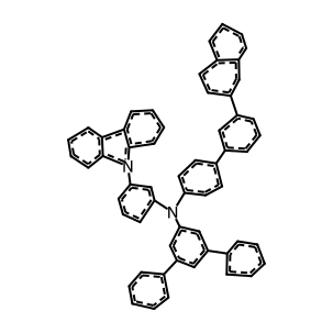 c1ccc(-c2cc(-c3ccccc3)cc(N(c3ccc(-c4cccc(-c5ccc6ccccc6c5)c4)cc3)c3cccc(-n4c5ccccc5c5ccccc54)c3)c2)cc1